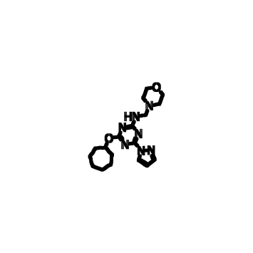 c1cnn(-c2nc(NCN3CCOCC3)nc(OC3CCCCCC3)n2)c1